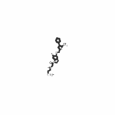 O=C(O)CCNCC(=O)N1CCc2cc(OCc3cc(-c4ccccc4)c(C(F)(F)F)s3)c(F)cc21